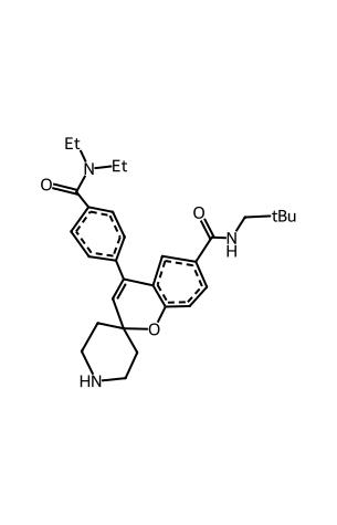 CCN(CC)C(=O)c1ccc(C2=CC3(CCNCC3)Oc3ccc(C(=O)NCC(C)(C)C)cc32)cc1